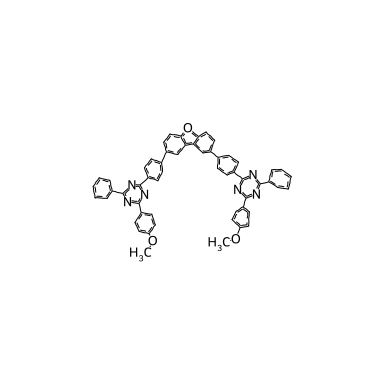 COc1ccc(-c2nc(-c3ccccc3)nc(-c3ccc(-c4ccc5oc6ccc(-c7ccc(-c8nc(-c9ccccc9)nc(-c9ccc(OC)cc9)n8)cc7)cc6c5c4)cc3)n2)cc1